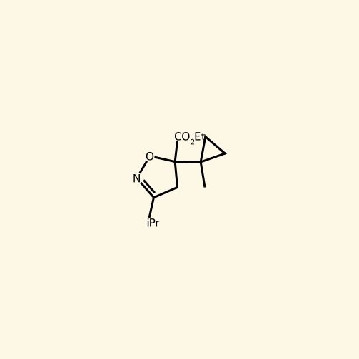 CCOC(=O)C1(C2(C)CC2)CC(C(C)C)=NO1